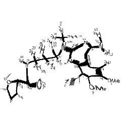 [2H]c1c(OC)c(OC)c([2H])c2c(N([2H])[2H])nc(N(C([2H])([2H])[2H])C([2H])([2H])C([2H])([2H])C([2H])([2H])N([2H])C(=O)C3CCCO3)nc12